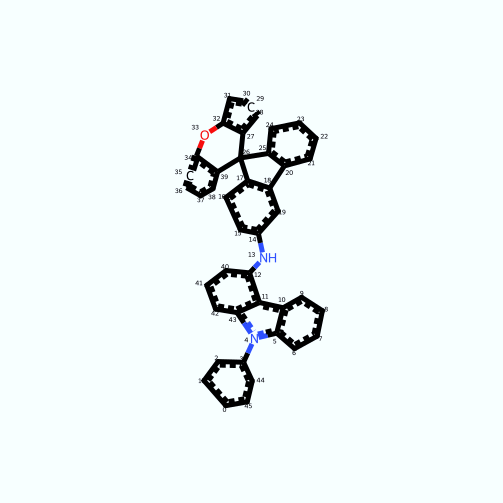 c1ccc(-n2c3ccccc3c3c(Nc4ccc5c(c4)-c4ccccc4C54c5ccccc5Oc5ccccc54)cccc32)cc1